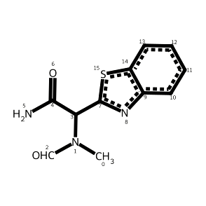 CN(C=O)C(C(N)=O)c1nc2ccccc2s1